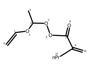 C=COC(C)OOC(=O)C(=C)CCC